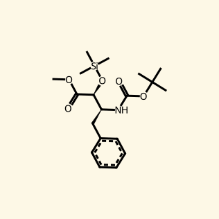 COC(=O)[C@@H](O[Si](C)(C)C)[C@H](Cc1ccccc1)NC(=O)OC(C)(C)C